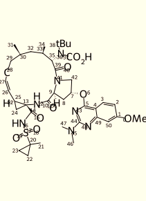 COc1ccc2c(O[C@@H]3C[C@H]4C(=O)N[C@]5(C(=O)NS(=O)(=O)C6(C)CC6)C[C@H]5/C=C\CC[C@@H](C)C[C@@H](C)[C@H](N(C(=O)O)C(C)(C)C)C(=O)N4C3)nc(N(C)C)nc2c1